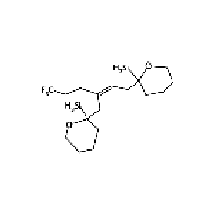 FC(F)(F)CCC(=CCC1([SiH3])CCCCO1)CC1([SiH3])CCCCO1